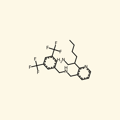 CCCCC(CN)c1ncccc1CNCc1cc(C(F)(F)F)cc(C(F)(F)F)c1